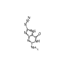 [N-]=[N+]=Nc1nc2nc(N)[nH]c(=O)c2[nH]1